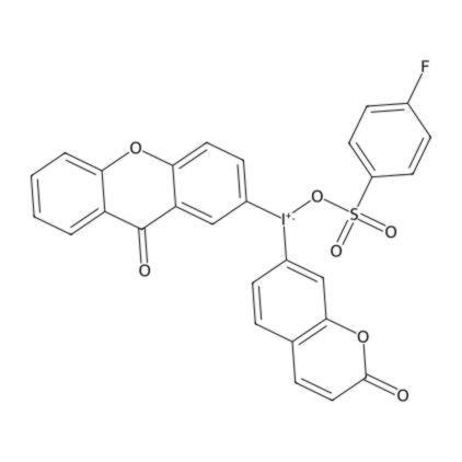 O=c1ccc2ccc([I+](OS(=O)(=O)c3ccc(F)cc3)c3ccc4oc5ccccc5c(=O)c4c3)cc2o1